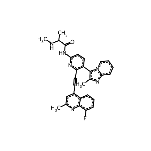 CNC(C)C(=O)Nc1ccc(-c2c(C)nc3ccccn23)c(C#Cc2cc(C)nc3c(F)cccc23)n1